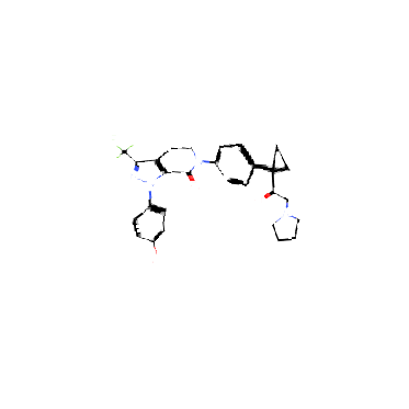 COc1ccc(-n2nc(C(F)(F)F)c3c2C(=O)N(c2ccc(C4(C(=O)CN5CCCC5)CC4)cc2)CC3)cc1